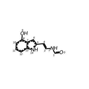 O=CNC=Cc1cc2c(O)cccc2[nH]1